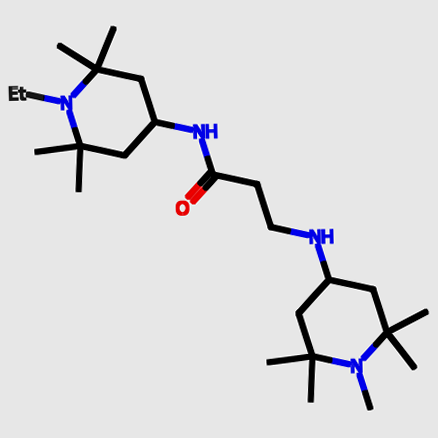 CCN1C(C)(C)CC(NC(=O)CCNC2CC(C)(C)N(C)C(C)(C)C2)CC1(C)C